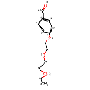 CCOCCOCCOc1ccc([C]=O)cc1